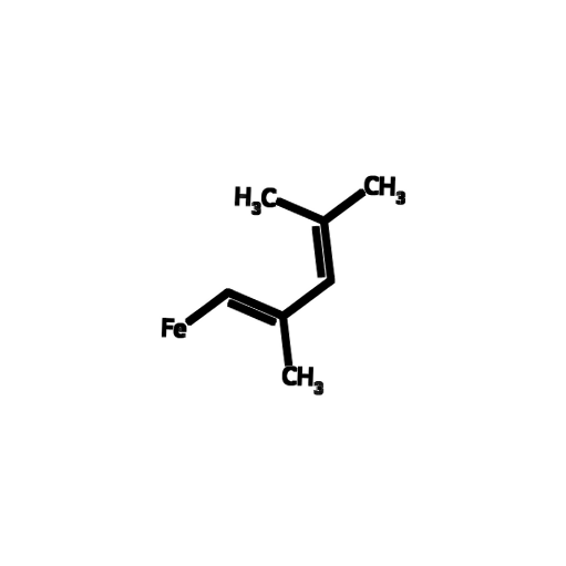 CC(C)=CC(C)=[CH][Fe]